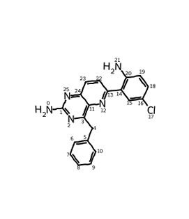 Nc1nc(Cc2ccccc2)c2nc(-c3cc(Cl)ccc3N)ccc2n1